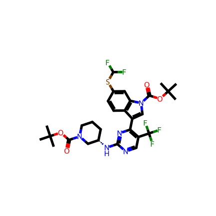 CC(C)(C)OC(=O)N1CCC[C@H](Nc2ncc(C(F)(F)F)c(-c3cn(C(=O)OC(C)(C)C)c4cc(SC(F)F)ccc34)n2)C1